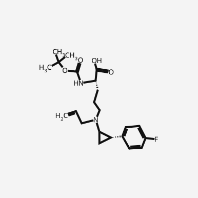 C=CCN(CCC[C@H](NC(=O)OC(C)(C)C)C(=O)O)C1C[C@H]1c1ccc(F)cc1